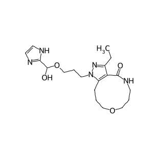 CCc1nn(CCCOC(O)c2ncc[nH]2)c2c1C(=O)NCCCOCCC2